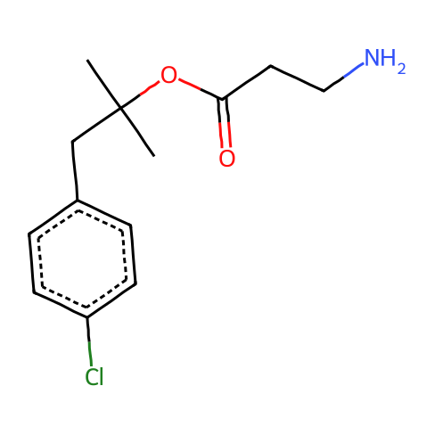 CC(C)(Cc1ccc(Cl)cc1)OC(=O)CCN